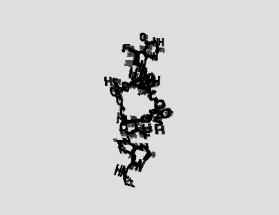 CCNc1ncnc2c1ncn2[C@@H]1O[C@@H]2COP(=O)(S)O[C@@H]3[C@H](O)[C@@H](COP(=O)(S)O[C@H]2[C@H]1F)O[C@H]3n1cc(F)c2c(=O)[nH]cnc21